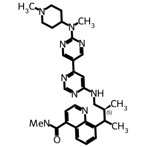 CNC(=O)c1ccnc2c(C(C)[C@H](C)CNc3cc(-c4cnc(N(C)C5CCN(C)CC5)nc4)ncn3)cccc12